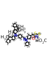 CC1(C)c2ccccc2-c2ccc(N(c3ccc(C=NN(c4ccccc4)c4ccc(C=C5SC(=S)N(CC(=O)O)C5=O)cc4)cc3)c3ccc4c(c3)C(C)(C)c3ccccc3-4)cc21